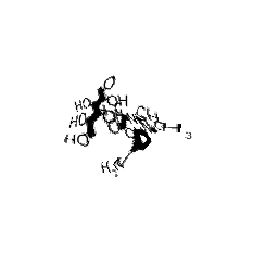 CC(N)C(=O)O.CCN(CC)c1ccc(N)cc1.O=C[C@H](O)[C@@H](O)[C@@H](O)[C@H](O)CO